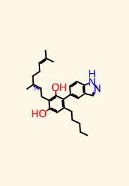 CCCCCc1cc(O)c(C/C=C(\C)CCC=C(C)C)c(O)c1-c1ccc2[nH]ncc2c1